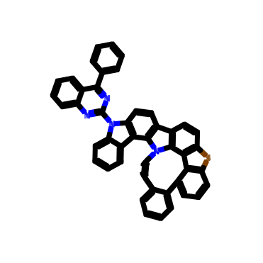 c1ccc(-c2nc(-n3c4ccccc4c4c3ccc3c5ccc6sc7cccc8c9ccccc9c9ccccc9n(c5c6c78)c34)nc3ccccc23)cc1